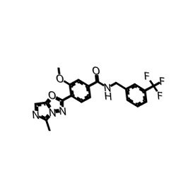 COc1cc(C(=O)NCc2cccc(C(F)(F)F)c2)ccc1-c1nn2c(C)ncc2o1